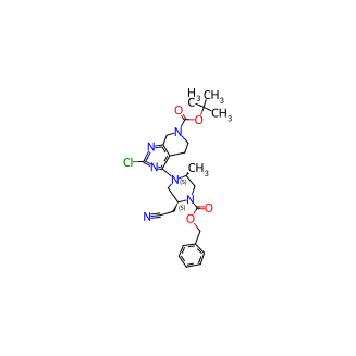 C[C@H]1CN(C(=O)OCc2ccccc2)[C@@H](CC#N)CN1c1nc(Cl)nc2c1CCN(C(=O)OC(C)(C)C)C2